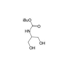 CC(C)COC(=O)NC(CO)CO